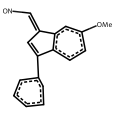 COc1ccc2c(c1)/C(=C/N=O)C=C2c1ccccc1